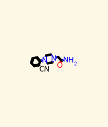 N#Cc1ccccc1N1CCN(CC(N)=O)CC1